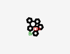 OC1(c2ccccc2-c2ccccc2)c2ccccc2-c2ccccc2-c2ccc(Br)cc21